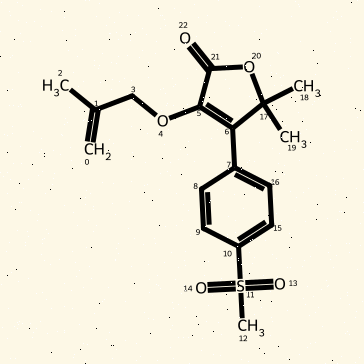 C=C(C)COC1=C(c2ccc(S(C)(=O)=O)cc2)C(C)(C)OC1=O